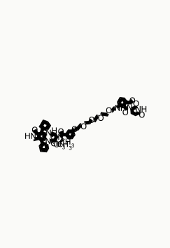 CO[C@@H]1[C@H](N(C)C(=O)c2cccc(OCCOCCOCCOCCOCCNc3cccc4c3C(=O)N(C3CCC(=O)NC3=O)C4=O)c2)C[C@H]2O[C@]1(C)n1c3ccccc3c3c4c(c5c6ccccc6n2c5c31)C(=O)NC4